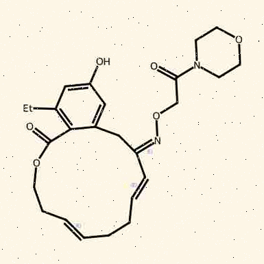 CCc1cc(O)cc2c1C(=O)OCC/C=C/CC/C=C/C(=N/OCC(=O)N1CCOCC1)C2